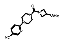 COC1CN(C(=O)N2CCN(c3ccc(C#N)cn3)CC2)C1